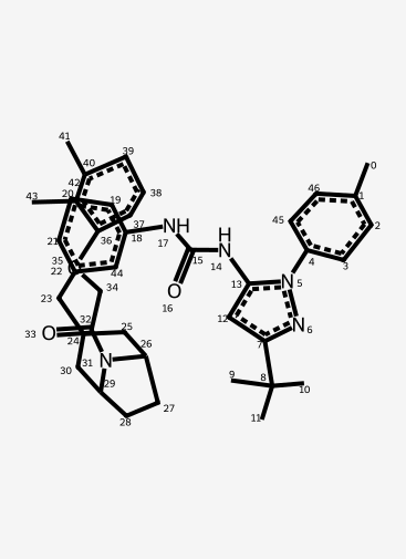 Cc1ccc(-n2nc(C(C)(C)C)cc2NC(=O)Nc2cccc(CC3CC4CCC(C3)N4C(=O)COc3cccc(C)c3C)c2)cc1